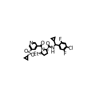 CC[C@@H]1CC[C@H](C(=O)NC(c2cc(F)c(Cl)cc2F)C2CC2)N1C(=O)c1cncc(S(=O)(=O)C2CC2)c1